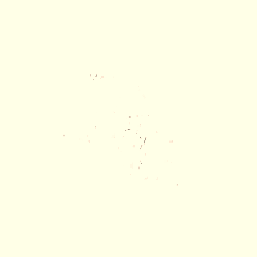 COc1ccc2c3c1OC1C(=O)CCC4(O)[C@@H](C2)N(CC2CCC2)CC[C@]314